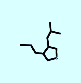 CCCC1CSCC1CC(C)C